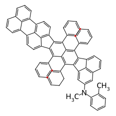 Cc1ccccc1N(C)c1cc2cccc3c4c(-c5ccccc5)c5c(-c6ccccc6)c6c7ccc8c9cccc%10cccc(c%11ccc(c6c(-c6ccccc6)c5c(C5=CC=CCC5)c4c(c1)c23)c7c%118)c%109